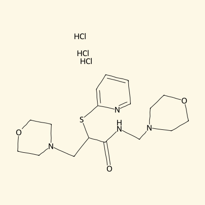 Cl.Cl.Cl.O=C(NCN1CCOCC1)C(CN1CCOCC1)Sc1ccccn1